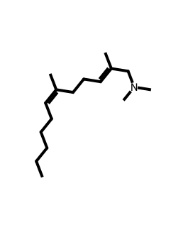 CCCCC/C=C(/C)CC/C=C(\C)CN(C)C